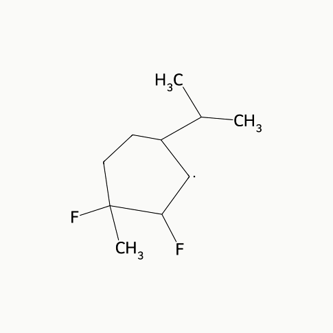 CC(C)C1[CH]C(F)C(C)(F)CC1